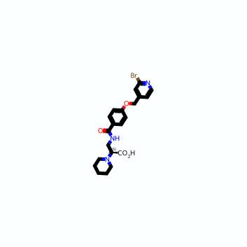 O=C(NC[C@@H](C(=O)O)N1CCCCC1)c1ccc(OCc2ccnc(Br)c2)cc1